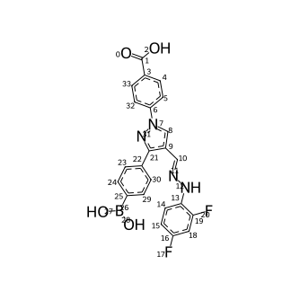 O=C(O)c1ccc(-n2cc(/C=N/Nc3ccc(F)cc3F)c(-c3ccc(B(O)O)cc3)n2)cc1